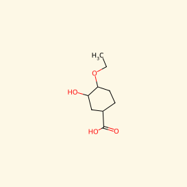 CCOC1CCC(C(=O)O)CC1O